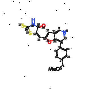 COCc1ccc(-c2cncc3cc(C=C4SC(=S)NC4=O)oc23)cc1